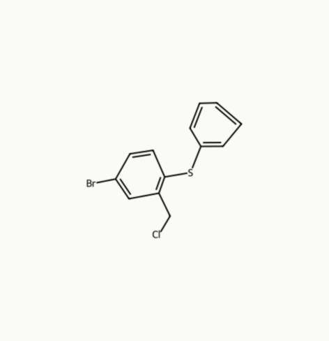 ClCc1cc(Br)ccc1Sc1ccccc1